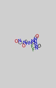 CN1CC(C(=O)N2CC[C@H](CNc3cc(-n4c(C(F)F)nc5ccccc54)nc(N4CCOCC4)n3)C2)CCC1=O